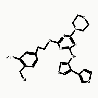 COc1cc(CCOc2nc(Nc3cscc3-c3ccsc3)nc(N3CCOCC3)n2)ccc1CO